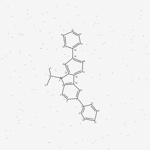 CC(C)n1c2ccc(-c3ccccc3)cc2c2ccc(-c3ccccc3)cc21